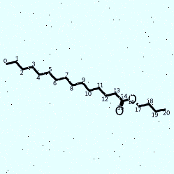 CCCCCCCCCCCCCCC(=O)OCCCC